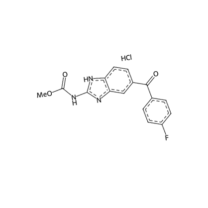 COC(=O)Nc1nc2cc(C(=O)c3ccc(F)cc3)ccc2[nH]1.Cl